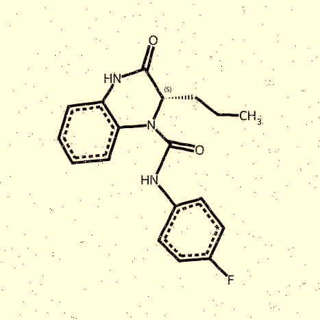 CCC[C@H]1C(=O)Nc2ccccc2N1C(=O)Nc1ccc(F)cc1